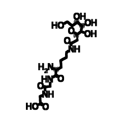 N[C@@H](CCCCNC(=O)C[C@H]1OC(CO)[C@H](O)[C@H](O)C1O)C(=O)NCC(=O)NCC(=O)O